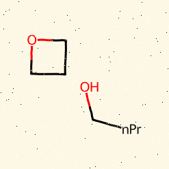 C1COC1.CCCCO